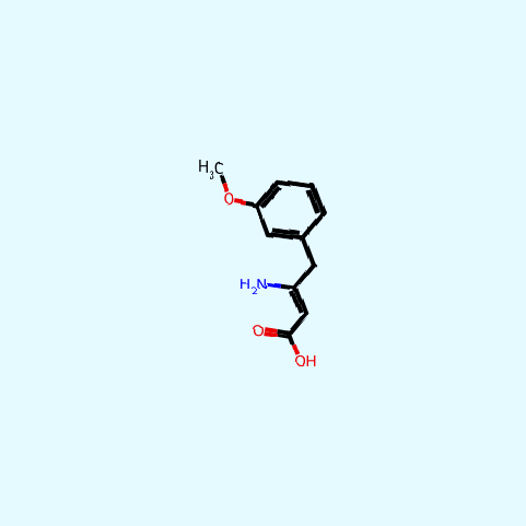 COc1cccc(CC(N)=CC(=O)O)c1